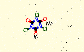 O=c1n(Cl)c(=O)n(Cl)c(=O)n1Cl.[K].[Na]